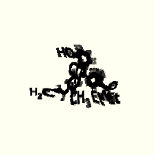 C=CCN1C[C@@H](C)N([C@@H](c2ccc(C(=O)N(CC)CC)cc2)c2cccc(O)c2)C[C@H]1C